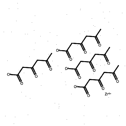 CC(=O)CC(=O)CC(=O)[O-].CC(=O)CC(=O)CC(=O)[O-].CC(=O)CC(=O)CC(=O)[O-].CC(=O)CC(=O)CC(=O)[O-].[Zr+4]